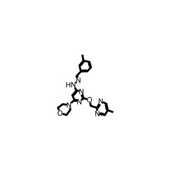 Cc1cnc(COc2nc(NN=Cc3cccc(C)c3)cc(N3CCOCC3)n2)nc1